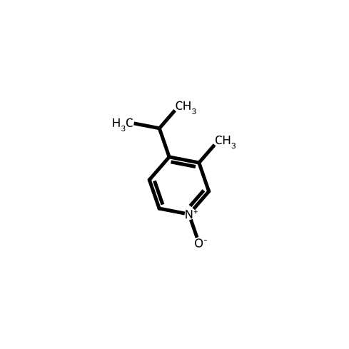 Cc1c[n+]([O-])ccc1C(C)C